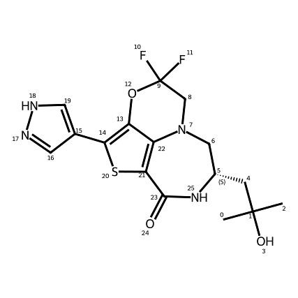 CC(C)(O)C[C@H]1CN2CC(F)(F)Oc3c(-c4cn[nH]c4)sc(c32)C(=O)N1